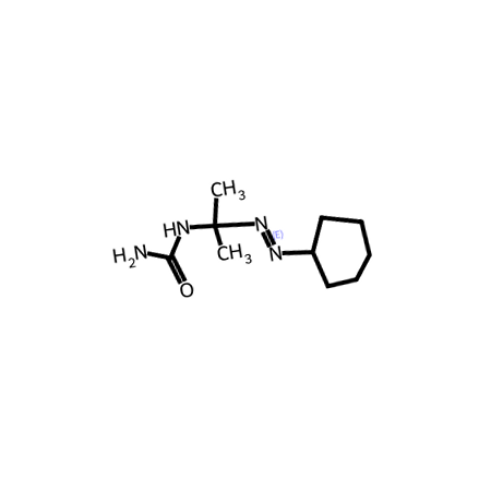 CC(C)(/N=N/C1CCCCC1)NC(N)=O